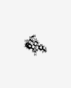 CC(C)(/C(=N\C#N)NC1C2CC3CC1CC(c1nn[nH]n1)(C3)C2)N1CCN(c2ccc(C(F)(F)F)cn2)CC1